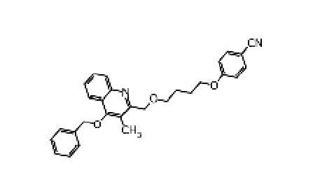 Cc1c(COCCCCOc2ccc(C#N)cc2)nc2ccccc2c1OCc1ccccc1